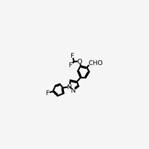 O=Cc1ccc(-c2cnn(-c3ccc(F)cc3)c2)cc1OC(F)F